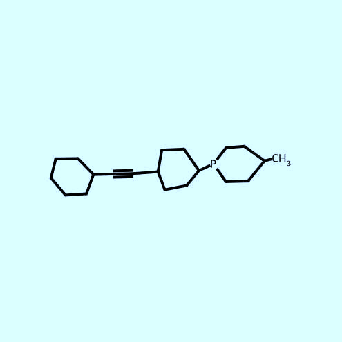 CC1CCP(C2CCC(C#CC3CCCCC3)CC2)CC1